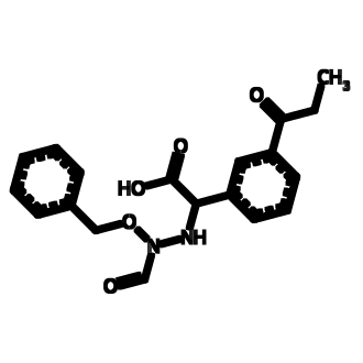 CCC(=O)c1cccc(C(NN(C=O)OCc2ccccc2)C(=O)O)c1